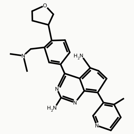 Cc1ccncc1-c1ccc(N)c2c(-c3ccc(C4CCOC4)c(CN(C)C)c3)nc(N)nc12